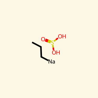 CC[CH2][Na].O=S(O)O